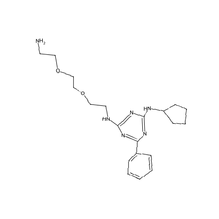 NCCOCCOCCNc1nc(NC2CCCC2)nc(-c2ccccc2)n1